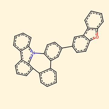 c1ccc2c(c1)-c1cc(-c3ccc4oc5ccccc5c4c3)ccc1-n1c3ccccc3c3cccc-2c31